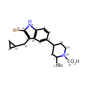 CC(C)(C)C1CC(c2ccc3[nH]c(Br)c(CC4CC4)c3c2)CCN1C(=O)O